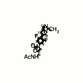 CC(=O)NC[C@H]1CN(c2cc(F)c(C3=Cc4cnc(C)n4C3)c(F)c2)C(=O)O1